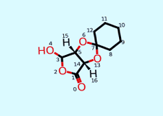 O=C1OC(O)[C@@H]2OC3(CCCCC3)O[C@H]12